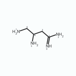 N=C(N)CC(N)CN